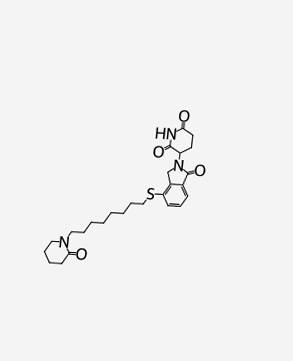 O=C1CCC(N2Cc3c(SCCCCCCCCN4CCCCC4=O)cccc3C2=O)C(=O)N1